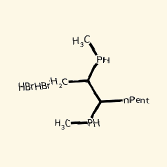 Br.Br.[CH2]C(PC)C(CCCCC)PC